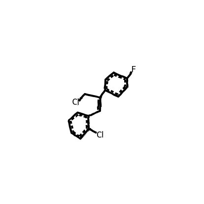 Fc1ccc(/C(=C/c2ccccc2Cl)CCl)cc1